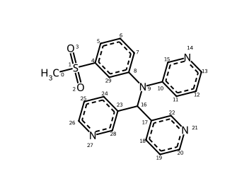 CS(=O)(=O)c1cccc(N(c2cccnc2)C(c2cccnc2)c2cccnc2)c1